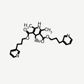 CCC(C)C1C(C(=O)OCCCc2cccnc2)=C(C)NC(C)=C1C(=O)OCCCc1cccnc1